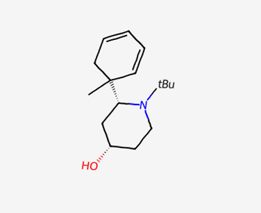 CC1([C@H]2C[C@@H](O)CCN2C(C)(C)C)C=CC=CC1